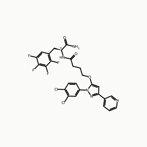 NC(=O)[C@H](Cc1cc(F)c(F)c(F)c1F)NC(=O)CCCOc1cc(-c2cccnc2)nn1-c1ccc(Cl)c(Cl)c1